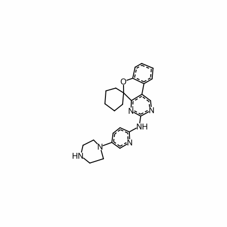 c1ccc2c(c1)OC1(CCCCC1)c1nc(Nc3ccc(N4CCNCC4)cn3)ncc1-2